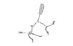 C#CC(O[Si](C)(C)C(C)(C)C)C(F)F